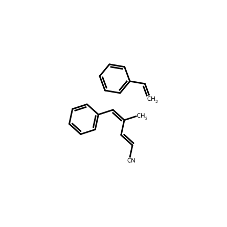 C=Cc1ccccc1.CC(C=CC#N)=Cc1ccccc1